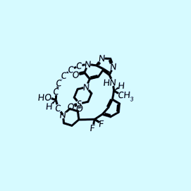 C[C@H]1Nc2ncnc3c2cc(N2CCS(=O)(=O)CC2)c(=O)n3CCCCC[C@@H](O)CN2CCC(CC2)C(F)(F)c2cccc1c2